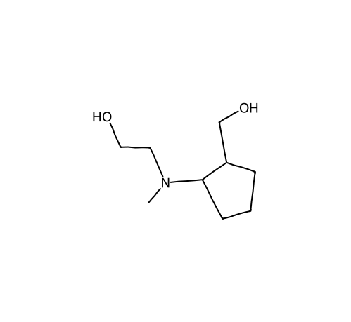 CN(CCO)C1CCCC1CO